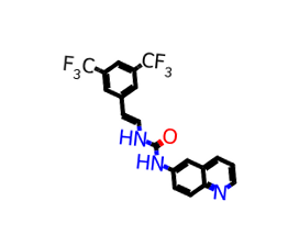 O=C(N/C=C/c1cc(C(F)(F)F)cc(C(F)(F)F)c1)Nc1ccc2ncccc2c1